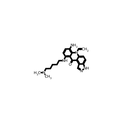 C=Cn1c2ccc3[nH]ncc3c2c(=O)c2c(NCCCCCN(C)C)ccc(N)c21